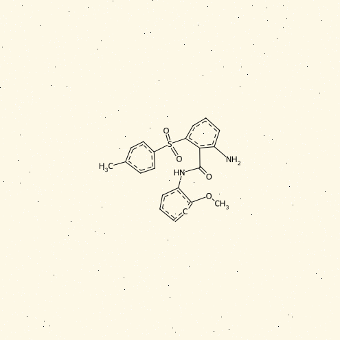 COc1ccccc1NC(=O)c1c(N)cccc1S(=O)(=O)c1ccc(C)cc1